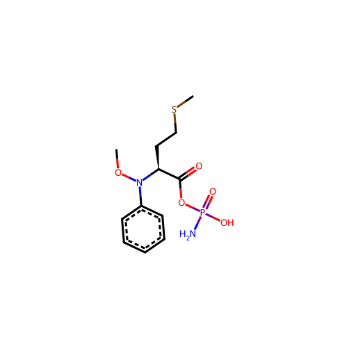 CON(c1ccccc1)[C@@H](CCSC)C(=O)OP(N)(=O)O